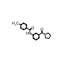 Cc1ccc(C(=O)Nc2c[c]cc(C(=O)N3CCCC3)c2)cc1